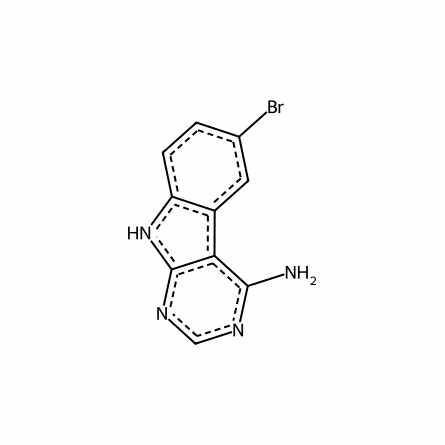 Nc1ncnc2[nH]c3ccc(Br)cc3c12